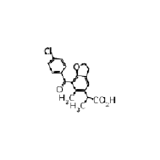 Cc1c(C(C)C(=O)O)cc2c(c1C(=O)c1ccc(Cl)cc1)OCC2